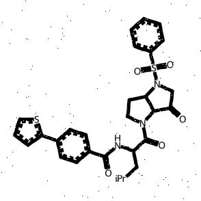 CC(C)CC(NC(=O)c1ccc(-c2cccs2)cc1)C(=O)N1CCC2C1C(=O)CN2S(=O)(=O)c1ccccc1